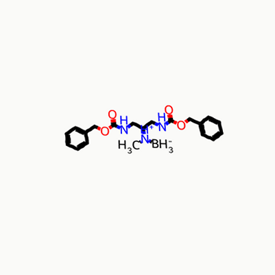 [BH3-][NH+](C)C(CNC(=O)OCc1ccccc1)CNC(=O)OCc1ccccc1